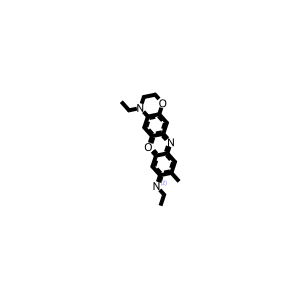 CC/N=c1/cc2oc3cc4c(cc3nc-2cc1C)OCCN4CC